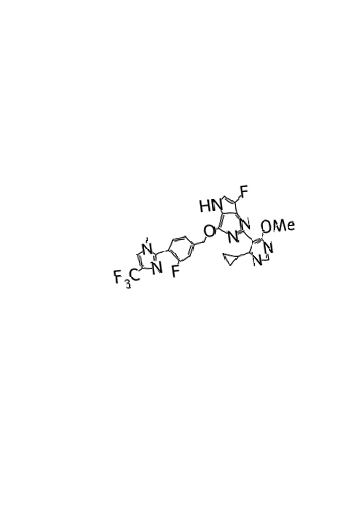 COc1ncnc(C2CC2)c1-c1nc(OCc2ccc(-c3nc(C(F)(F)F)cn3C)c(F)c2)c2[nH]cc(F)c2n1